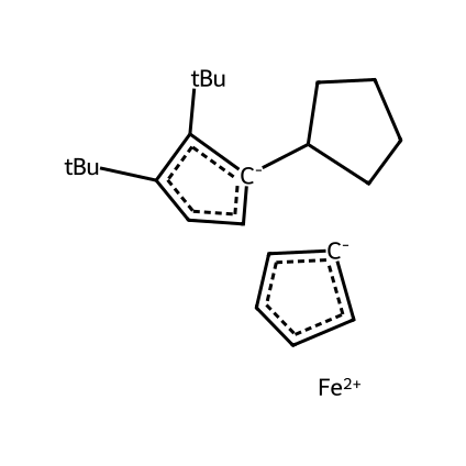 CC(C)(C)c1cc[c-](C2CCCC2)c1C(C)(C)C.[Fe+2].c1cc[cH-]c1